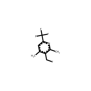 Cc1cc(C(F)(F)F)nc(C)c1CF